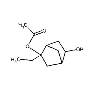 CCC1(OC(C)=O)CC2CC1CC2O